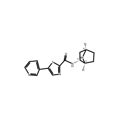 O=C(N[C@@H]1C[C@H]2CC[C@@H]1N2)c1ncc(-c2cccnc2)s1